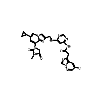 CN1C(=O)CN(c2cc(C3CC3)cn3cc(CNc4cc(NC(=O)Cc5ncn6ncc(Cl)cc56)ncn4)nc23)C1=O